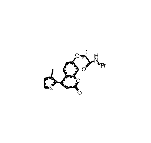 Cc1ccsc1-c1cc(=O)oc2cc(O[C@H](C)C(=O)NC(C)C)ccc12